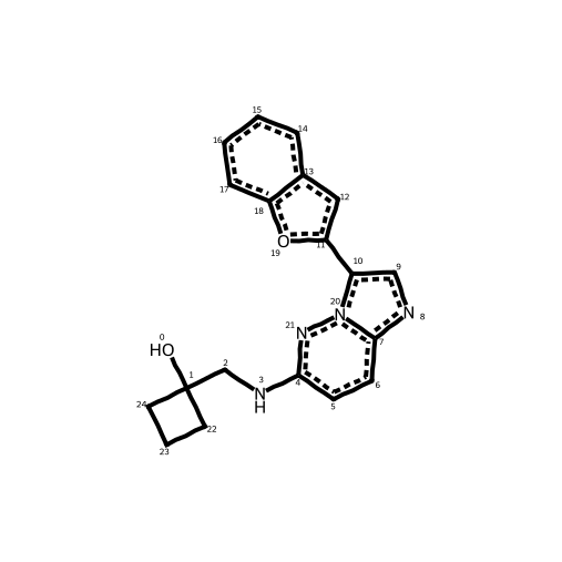 OC1(CNc2ccc3ncc(-c4cc5ccccc5o4)n3n2)CCC1